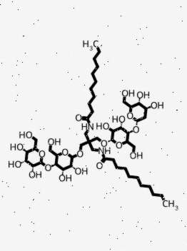 CCCCCCCCCCC(=O)NCC(CNC(=O)CCCCCCCCCC)(COC1OC(CO)[C@H](OC2OC(CO)[C@H](O)[C@@H](O)[C@H]2O)[C@@H](O)[C@H]1O)CO[C@H]1OC(CO)[C@H](O[C@H]2C[C@H](O)[C@@H](O)C(CO)O2)[C@@H](O)C1O